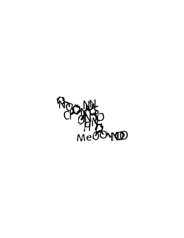 COc1cc(NC(=O)c2sc3ncnc4c3c2NC(=O)N4c2ccc(OCc3ccccn3)c(Cl)c2)ccc1OCCN1CCOCC1